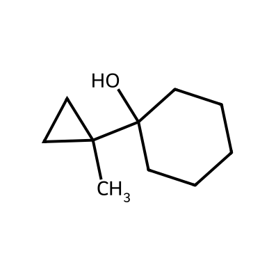 CC1(C2(O)CCCCC2)CC1